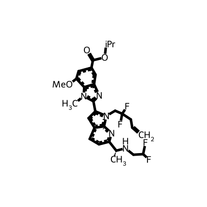 C=CCC(F)(F)Cn1c(-c2nc3cc(C(=O)OC(C)C)cc(OC)c3n2C)cc2ccc([C@@H](C)NCC(F)F)nc21